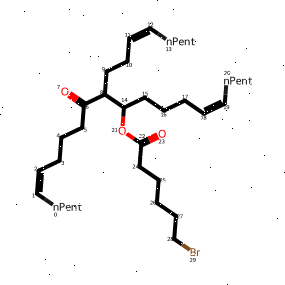 CCCCC/C=C\CCCC(=O)C(CC/C=C\CCCCC)C(CCC/C=C\CCCCC)OC(=O)CCCCCBr